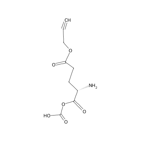 C#CCOC(=O)CC[C@H](N)C(=O)OC(=O)O